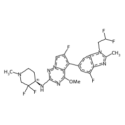 COc1nc(N[C@@H]2CCN(C)CC2(F)F)nn2cc(F)c(-c3cc(F)c4nc(C)n(CC(F)F)c4c3)c12